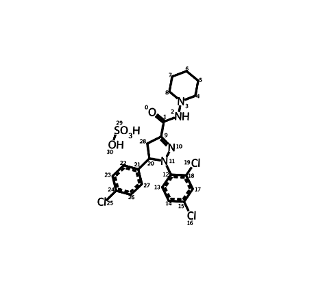 O=C(NN1CCCCC1)C1=NN(c2ccc(Cl)cc2Cl)C(c2ccc(Cl)cc2)C1.O=S(=O)(O)O